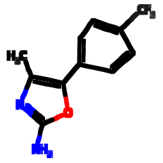 Cc1nc(N)oc1-c1ccc(C(F)(F)F)cc1